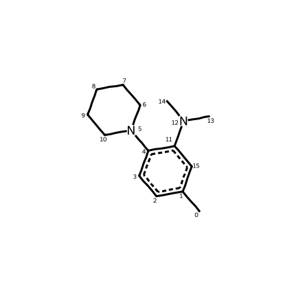 Cc1ccc(N2CCCCC2)c(N(C)C)c1